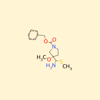 COC1(C(N)SC)CCN(C(=O)OCc2ccccc2)C1